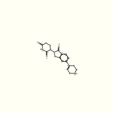 O=C1CCC(N2Cc3cc(C4=CCNCC4)ccc3C2=O)C(=O)N1